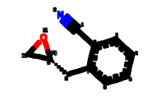 N#Cc1ccccc1C[C@@H]1CO1